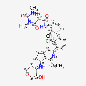 COc1nc(-c2cccc(-c3cccc(NC(=O)c4nn(C)c(=O)n(C)c4=O)c3C)c2Cl)cc2c1[C@@H](N[C@@H]1CCOC[C@H]1O)CC2